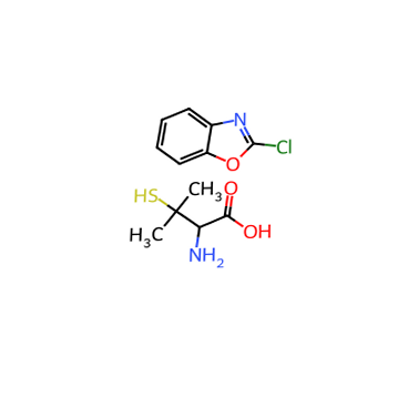 CC(C)(S)C(N)C(=O)O.Clc1nc2ccccc2o1